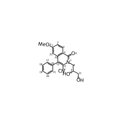 COc1ccc2c(=O)n(CC(O)CO)c(C#N)c(-c3ccccc3)c2c1